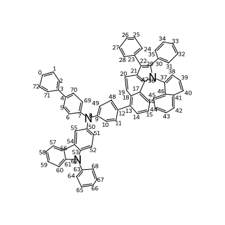 c1ccc(-c2ccc(N(c3ccc(-c4cccc5c4ccc4c(-c6ccccc6)c(-c6ccccc6)n(-c6cccc7ccccc67)c45)cc3)c3ccc4c(c3)c3ccccc3n4-c3ccccc3)cc2)cc1